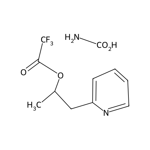 CC(Cc1ccccn1)OC(=O)C(F)(F)F.NC(=O)O